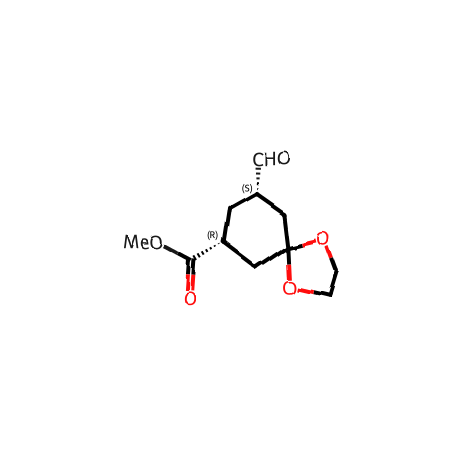 COC(=O)[C@@H]1C[C@H](C=O)CC2(C1)OCCO2